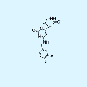 O=C1CN2c3cc(NCc4ccc(F)c(F)c4)nc(=O)n3CC2CN1